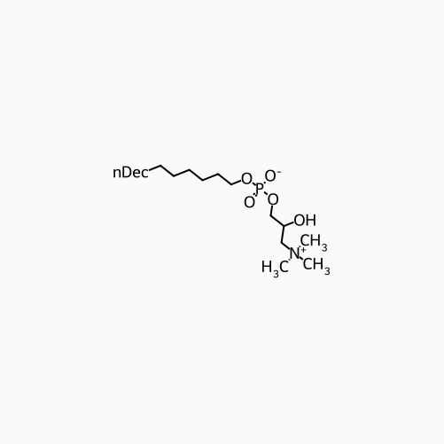 CCCCCCCCCCCCCCCCOP(=O)([O-])OCC(O)C[N+](C)(C)C